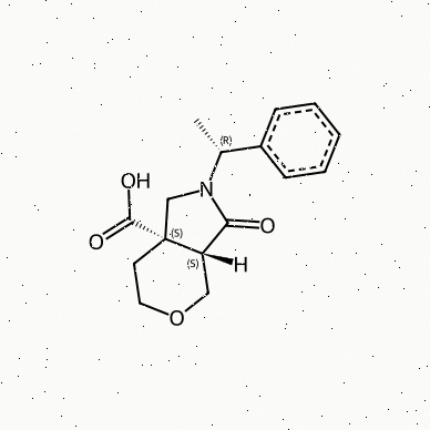 C[C@H](c1ccccc1)N1C[C@]2(C(=O)O)CCOC[C@H]2C1=O